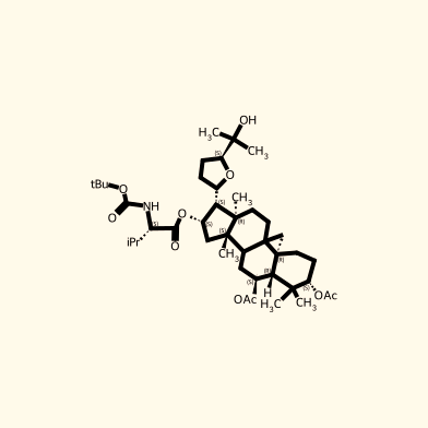 CC(=O)O[C@H]1CC2C3(CC[C@]4(C)[C@@H](C5CC[C@@H](C(C)(C)O)O5)[C@@H](OC(=O)[C@@H](NC(=O)OC(C)(C)C)C(C)C)C[C@@]24C)C[C@@]32CC[C@H](OC(C)=O)C(C)(C)[C@H]12